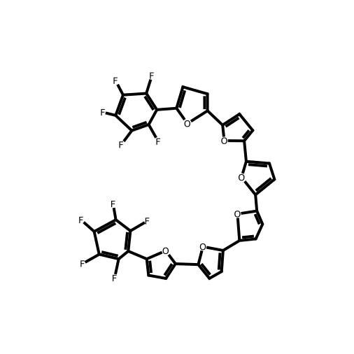 Fc1c(F)c(F)c(-c2ccc(-c3ccc(-c4ccc(-c5ccc(-c6ccc(-c7ccc(-c8c(F)c(F)c(F)c(F)c8F)o7)o6)o5)o4)o3)o2)c(F)c1F